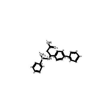 CN(NC(CC(=O)O)c1ccc(-c2ccccc2)cc1)c1ccccc1